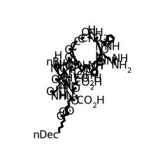 CCCCCCCCCCCCCCCC(=O)CS(=O)(=O)CCCC(=O)N[C@@H](CCC(=O)O)C(=O)N[C@@H](CCC(=O)O)C(=O)N[C@@H](CCC(N)=O)C(=O)N[C@@H](Cc1c[nH]cn1)C(=O)N[C@@H](CCC(=O)O)C(=O)N[C@@H](CCCC)C(=O)N[C@H]1CCC(=O)CCCCC[C@@H](C(N)=O)NC(=O)[C@H](Cc2c[nH]c3ccccc23)NC(=O)[C@H](CCCNC(=N)N)NC(=O)[C@@H](Cc2ccccc2)NC(=O)[C@@H]2C[C@@H](O)CN2C1=O